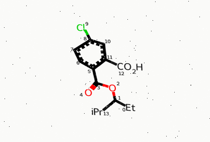 CCC(OC(=O)c1ccc(Cl)cc1C(=O)O)C(C)C